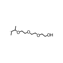 C[CH]C(C)OCCOCCOCCO